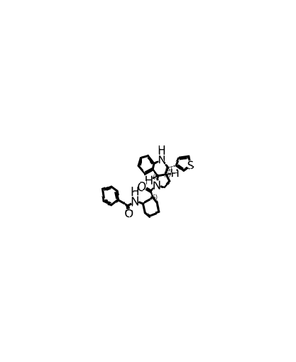 O=C(NC1CCCC[C@@H]1C(=O)N1CC[C@H]2[C@@H](c3ccsc3)Nc3ccccc3[C@H]21)c1ccccc1